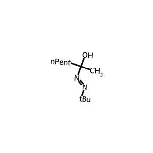 CCCCCC(C)(O)N=NC(C)(C)C